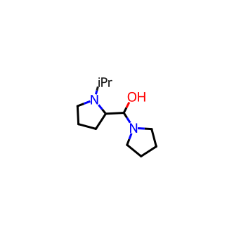 CC(C)N1CCCC1C(O)N1CCCC1